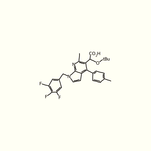 Cc1ccc(-c2c(C(OC(C)(C)C)C(=O)O)c(C)nc3c2ccn3Cc2cc(F)c(F)c(F)c2)cc1